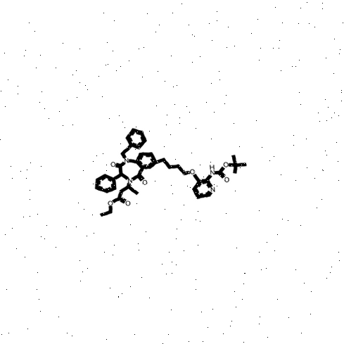 CCOC(=O)CC(C)N1C(=O)c2cc(CCCCOc3cccnc3NC(=O)OC(C)(C)C)ccc2N(Cc2ccccc2)C(=O)C1c1ccccc1